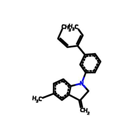 C=C1CN(c2cccc(C(/C=C\C)=C/C)c2)c2ccc(C)cc21